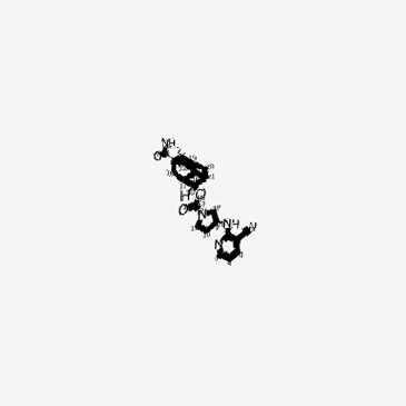 N#Cc1cccnc1N[C@@H]1CCN(C(=O)O[C@H]2C3CC4CC2C[C@](C(N)=O)(C4)C3)C1